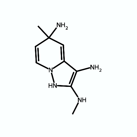 CNC1=C(N)C2=CC(C)(N)C=CN2N1